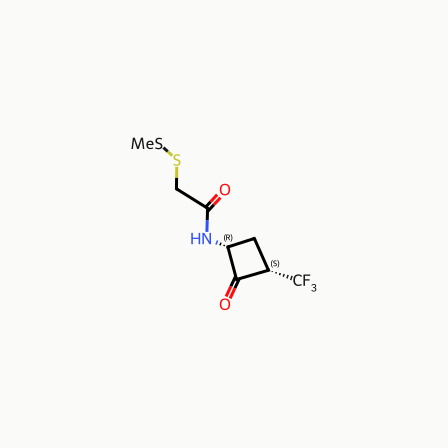 CSSCC(=O)N[C@@H]1C[C@H](C(F)(F)F)C1=O